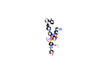 Cc1ccccc1[C@@H]1COCCN1C1CC2(CCN(c3ccc(C(=O)NS(=O)(=O)c4ccc(NCC5CCOCC5)c([N+](=O)[O-])c4)c(N4c5cc6c(F)c[nH]c6nc5O[C@H]5COCC[C@@H]54)c3)CC2)C1